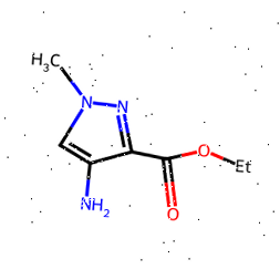 CCOC(=O)c1nn(C)cc1N